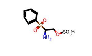 NC(COS(=O)(=O)O)S(=O)(=O)c1ccccc1